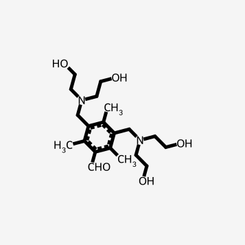 Cc1c(C=O)c(C)c(CN(CCO)CCO)c(C)c1CN(CCO)CCO